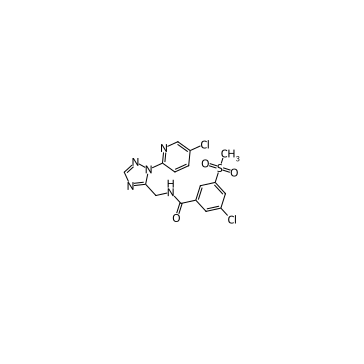 CS(=O)(=O)c1cc(Cl)cc(C(=O)NCc2ncnn2-c2ccc(Cl)cn2)c1